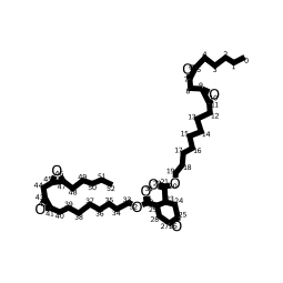 CCCCCC1OC1CC1OC1CCCCCCCCOC(=O)C1CC2OC2CC1C(=O)OCCCCCCCCC1OC1CC1OC1CCCCC